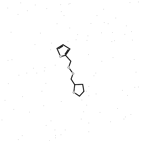 c1coc(COOCC2CCCO2)c1